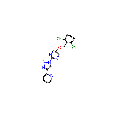 Clc1cccc(Cl)c1COc1cnc(-n2cc(-c3ccccn3)nn2)nc1